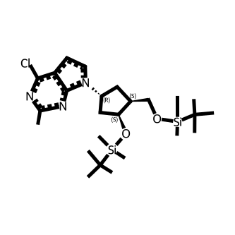 Cc1nc(Cl)c2ccn([C@@H]3C[C@@H](CO[Si](C)(C)C(C)(C)C)[C@@H](O[Si](C)(C)C(C)(C)C)C3)c2n1